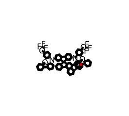 FC(F)(F)Oc1ccc(N(c2ccc3c(c2)C2(c4cc(N(c5ccc(OC(F)(F)F)cc5)c5cccc6c5oc5ccccc56)ccc4-3)c3ccccc3-c3c2cc2c4c(cccc34)-c3ccccc3-2)c2cccc3c2oc2ccccc23)cc1